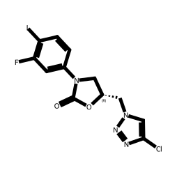 O=C1O[C@@H](Cn2cc(Cl)nn2)CN1c1ccc(I)c(F)c1